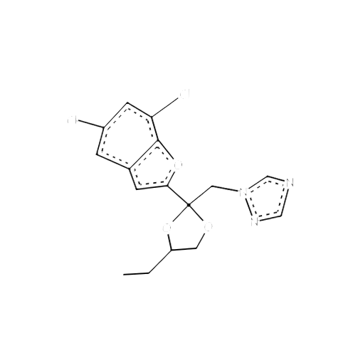 CCC1COC(Cn2cncn2)(c2cc3cc(Cl)cc(Cl)c3o2)O1